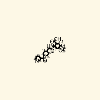 CC(=O)c1cc2c(cc1NC(=O)CC1CCN(C(=O)c3cccnc3)CC1)OCCO2